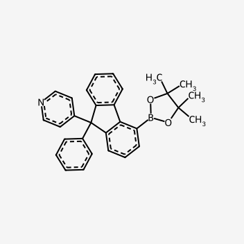 CC1(C)OB(c2cccc3c2-c2ccccc2C3(c2ccccc2)c2ccncc2)OC1(C)C